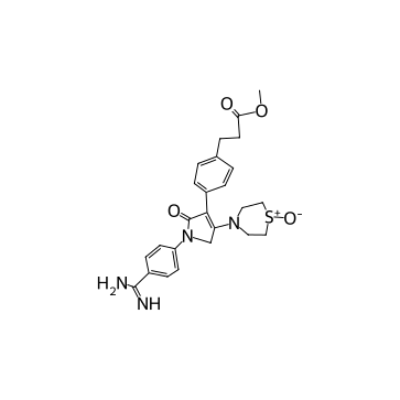 COC(=O)CCc1ccc(C2=C(N3CC[S+]([O-])CC3)CN(c3ccc(C(=N)N)cc3)C2=O)cc1